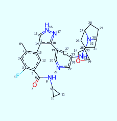 Cc1cc(F)c(C(=O)NC2CC2)cc1-c1c[nH]nc1-c1cncc(NC2CC3CCC(C2)N3C2COC2)c1